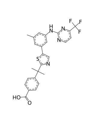 Cc1cc(Nc2nccc(C(F)(F)F)n2)cc(-c2cnc(C(C)(C)c3ccc(C(=O)O)cc3)s2)c1